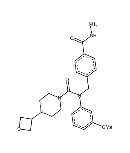 COc1cccc(N(Cc2ccc(C(=O)NN)cc2)C(=O)N2CCN(C3COC3)CC2)c1